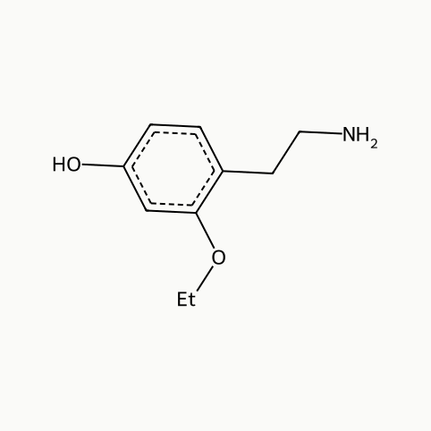 CCOc1cc(O)ccc1CCN